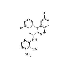 C[C@H](Nc1ncnc(N)c1C#N)c1cnc2ccc(F)cc2c1-c1cccc(F)c1